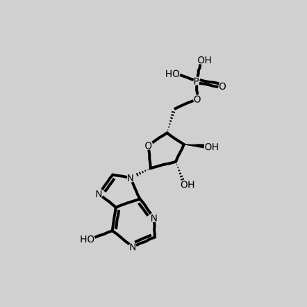 O=P(O)(O)OC[C@H]1O[C@@H](n2cnc3c(O)ncnc32)[C@@H](O)[C@@H]1O